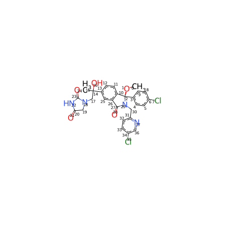 CO[C@]1(c2ccc(Cl)cc2)c2ccc(C(C)(O)CN3CC(=O)NC3=O)cc2C(=O)N1Cc1ccc(Cl)cn1